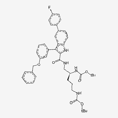 CC(C)(C)OC(=O)NCCC[C@@H](CNC(=O)c1[nH]c2ccc(-c3ccc(F)cc3)cc2c1-c1cccc(OCc2ccccc2)c1)NC(=O)OC(C)(C)C